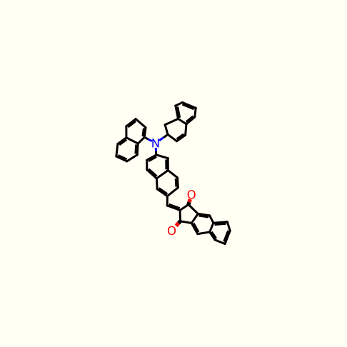 O=C1C(=Cc2ccc3cc(N(c4cccc5ccccc45)C4C=Cc5ccccc5C4)ccc3c2)C(=O)c2cc3ccccc3cc21